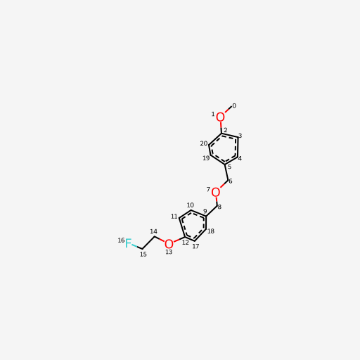 COc1ccc(COCc2ccc(OCCF)cc2)cc1